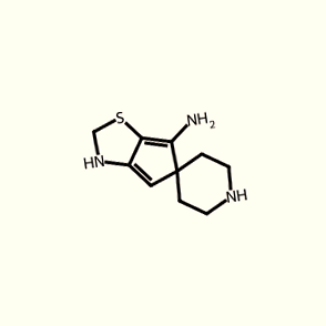 NC1=C2SCNC2=CC12CCNCC2